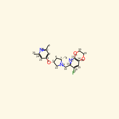 Cc1cc(O[C@@H]2C[C@H](C)N(Cc3nc4c(cc3F)OCCO4)C2)cc(C)n1